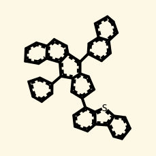 c1ccc(-c2c3cc(-c4cccc5c4sc4ccccc45)ccc3c(-c3ccc4ccccc4c3)c3ccc4ccccc4c23)cc1